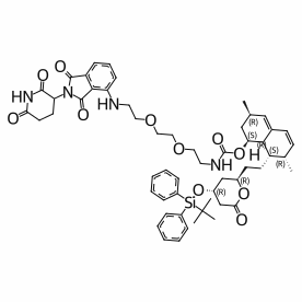 C[C@H]1C=C2C=C[C@H](C)[C@H](CC[C@@H]3C[C@@H](O[Si](c4ccccc4)(c4ccccc4)C(C)(C)C)CC(=O)O3)[C@H]2[C@@H](OC(=O)NCCOCCOCCNc2cccc3c2C(=O)N(C2CCC(=O)NC2=O)C3=O)C1